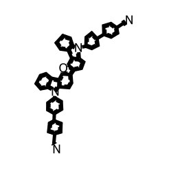 N#Cc1ccc(-c2ccc(-n3c4ccccc4c4c5oc6c(ccc7c6c6ccccc6n7-c6ccc(-c7ccc(C#N)cc7)cc6)c5ccc43)cc2)cc1